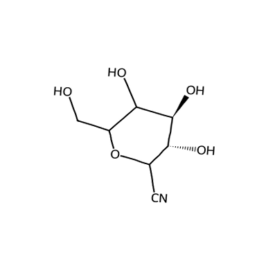 N#CC1OC(CO)C(O)[C@@H](O)[C@@H]1O